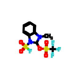 CN1c2ccccc2N(S(=O)(=O)F)C1OS(=O)(=O)C(F)(F)F